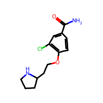 NC(=O)c1ccc(OCCC2CCCN2)c(Cl)c1